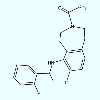 CC(Nc1c(Cl)ccc2c1CCN(C(=O)C(F)(F)F)CC2)c1ccccc1F